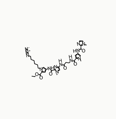 CCOC(=O)c1cc(NC(=O)c2nc(NC(=O)CCNC(=O)c3cc(NC(=O)c4nccn4C)cn3C)cn2C)cn1CCCCCCN=[N+]=[N-]